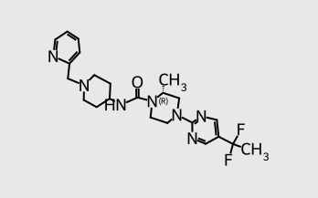 C[C@@H]1CN(c2ncc(C(C)(F)F)cn2)CCN1C(=O)NC1CCN(Cc2ccccn2)CC1